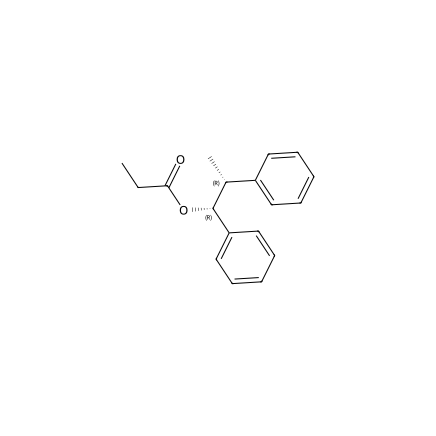 CCC(=O)O[C@@H](c1ccccc1)[C@H](C)c1ccccc1